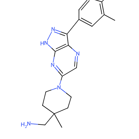 Cc1cc(-c2n[nH]c3nc(N4CCC(C)(CN)CC4)cnc23)ccc1F